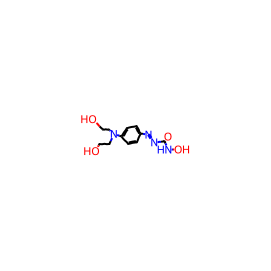 O=C(N=Nc1ccc(N(CCO)CCO)cc1)NO